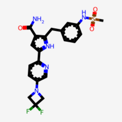 CS(=O)(=O)Nc1cccc(Cc2[nH]c(-c3ccc(N4CC(F)(F)C4)cn3)cc2C(N)=O)c1